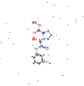 CC(C)(C)OC(=O)N1CCCC1[C@@H](O)[C@@H](N)Cc1cccc(F)c1